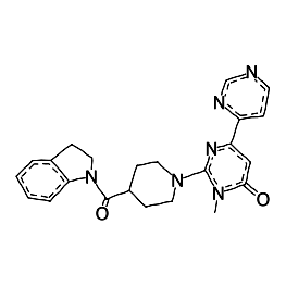 Cn1c(N2CCC(C(=O)N3CCc4ccccc43)CC2)nc(-c2ccncn2)cc1=O